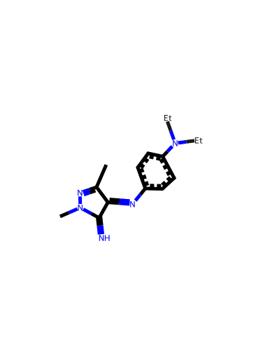 CCN(CC)c1ccc(N=C2C(=N)N(C)N=C2C)cc1